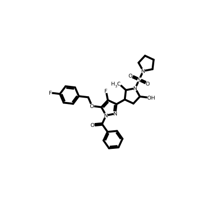 CC1C(c2nn(C(=O)c3ccccc3)c(OCc3ccc(F)cc3)c2F)CC(O)N1S(=O)(=O)N1CCCC1